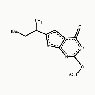 CCCCCCCCOc1nc2sc(C(C)CC(C)(C)C)cc2c(=O)o1